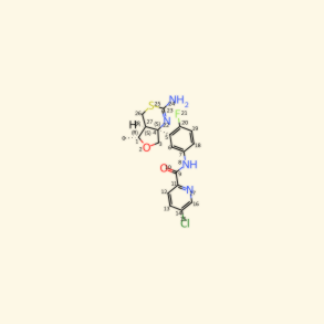 C[C@H]1OC[C@]2(c3cc(NC(=O)c4ccc(Cl)cn4)ccc3F)N=C(N)SC[C@H]12